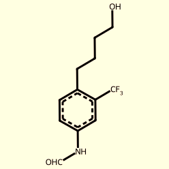 O=CNc1ccc(CCCCO)c(C(F)(F)F)c1